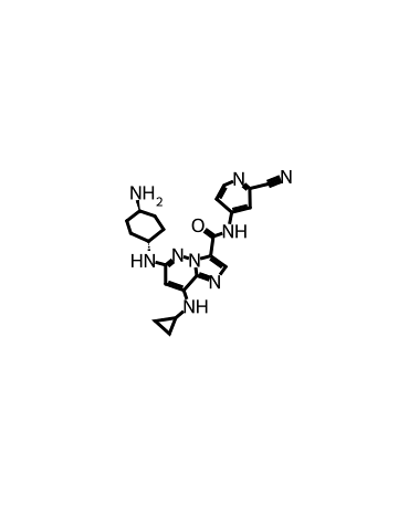 N#Cc1cc(NC(=O)c2cnc3c(NC4CC4)cc(N[C@H]4CC[C@H](N)CC4)nn23)ccn1